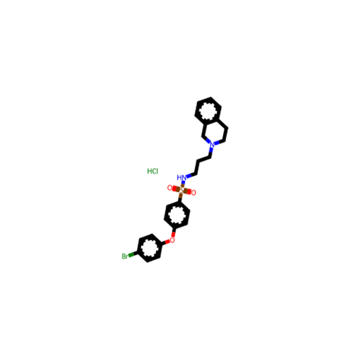 Cl.O=S(=O)(NCCCN1CCc2ccccc2C1)c1ccc(Oc2ccc(Br)cc2)cc1